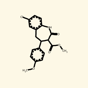 COC(=O)C1C(=O)Nc2ccc(Cl)cc2CC1c1ccc(OC)cc1